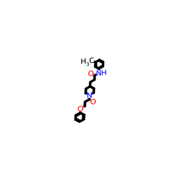 Cc1cccc(NC(=O)CCC2CCN(C(=O)CCOc3ccccc3)CC2)c1